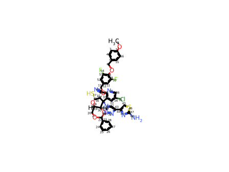 COc1ccc(COc2c(F)cc(CO[C@H]3[C@@H](S)O[C@@H]4COC(c5ccccc5)O[C@@H]4C3(c3cc(Cl)cnc3C#N)n3cc(-c4csc(N)n4)nn3)cc2F)cc1